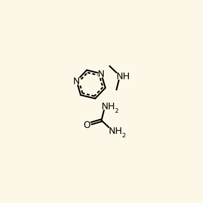 CNC.NC(N)=O.c1cncnc1